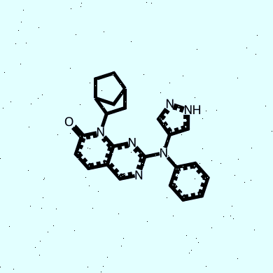 O=c1ccc2cnc(N(c3ccccc3)c3cn[nH]c3)nc2n1C1CC2CCC1C2